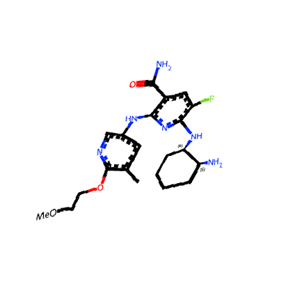 COCCOc1ncc(Nc2nc(N[C@@H]3CCCC[C@@H]3N)c(F)cc2C(N)=O)cc1C